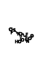 COc1ccc2nccc([C@H](F)CC[C@@H]3CCN(CCCSc4ccccc4F)C[C@H]3CCC(=O)O)c2c1